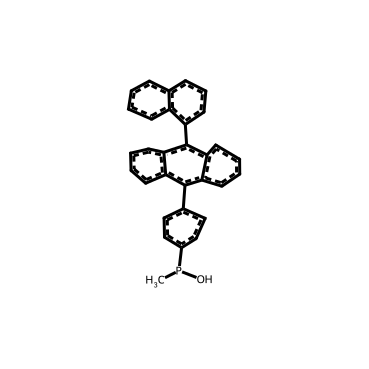 CP(O)c1ccc(-c2c3ccccc3c(-c3cccc4ccccc34)c3ccccc23)cc1